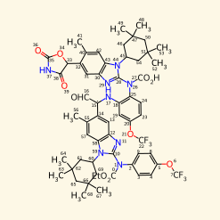 CCOC(=O)N(c1ccc(OC(F)(F)F)cc1)c1nc2cc([C](C=O)Nc3cc(OC(F)(F)F)ccc3N(C(=O)O)c3nc4cc(C5OC(=O)NC5=O)c(C)cc4n3C3CC(C)(C)CC(C)(C)C3)c(C)cc2n1C1CC(C)(C)CC(C)(C)C1